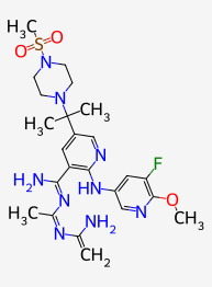 C=C(N)/N=C(C)\N=C(/N)c1cc(C(C)(C)N2CCN(S(C)(=O)=O)CC2)cnc1Nc1cnc(OC)c(F)c1